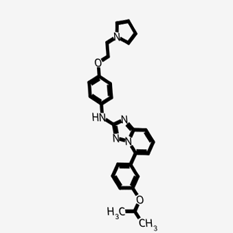 CC(C)Oc1cccc(-c2cccc3nc(Nc4ccc(OCCN5CCCC5)cc4)nn23)c1